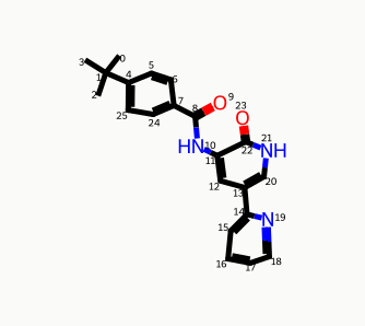 CC(C)(C)c1ccc(C(=O)Nc2cc(-c3ccccn3)c[nH]c2=O)cc1